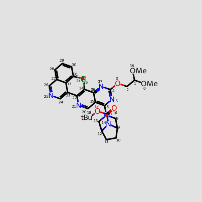 COC(COc1nc(N2CC3CCC(C2)N3C(=O)OC(C)(C)C)c2cnc(-c3cncc4cccc(Cl)c34)c(F)c2n1)OC